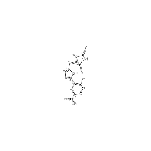 Cc1ccc([N+](=O)[O-])cc1-c1ccc(C=C2SC(=S)NC2=O)o1